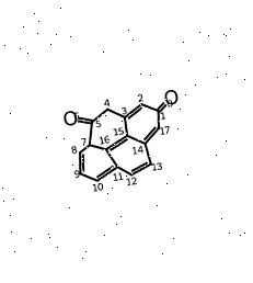 O=C1C=C2CC(=O)C3C=CC=c4ccc(c2c43)=C1